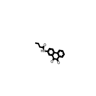 CCCC(=O)Nc1ccc2c(c1)C(=O)C(=O)c1ccccc1-2